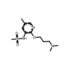 Cc1cnc(OCCCN(C)C)c(NS(C)(=O)=O)c1